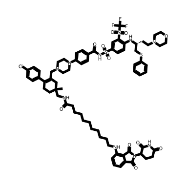 CC1(CNC(=O)CCCCCCCCCCNc2cccc3c2C(=O)N(C2CCC(=O)NC2=O)C3=O)CCC(c2ccc(Cl)cc2)=C(CN2CCN(c3ccc(C(=O)NS(=O)(=O)c4ccc(N[C@H](CCN5CCOCC5)CSc5ccccc5)c(S(=O)(=O)C(F)(F)F)c4)cc3)CC2)C1